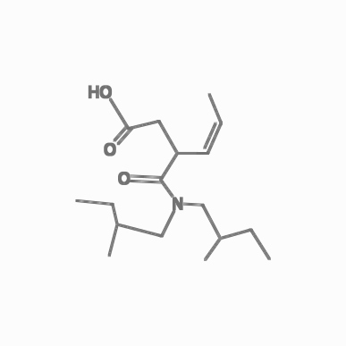 C/C=C\C(CC(=O)O)C(=O)N(CC(C)CC)CC(C)CC